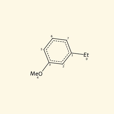 CCc1[c]c(OC)ccc1